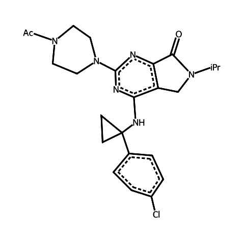 CC(=O)N1CCN(c2nc(NC3(c4ccc(Cl)cc4)CC3)c3c(n2)C(=O)N(C(C)C)C3)CC1